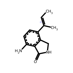 C/C=C(\C)c1ccc(N)c2c1CNC2=O